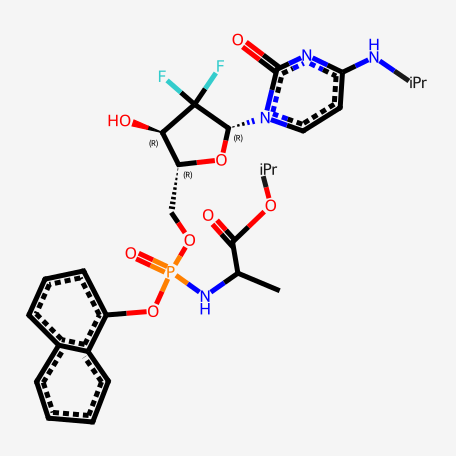 CC(C)Nc1ccn([C@@H]2O[C@H](COP(=O)(NC(C)C(=O)OC(C)C)Oc3cccc4ccccc34)[C@@H](O)C2(F)F)c(=O)n1